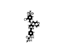 CNC(=O)Nc1ccc(-c2ncc3c(n2)N2CCOCC2CN3Cc2ccc(S(C)(=O)=O)cc2Cl)cc1